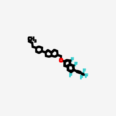 CCCCC1CCC(C2CCC3CC(COc4cc(F)c5c(F)c(C#CC(F)(F)F)c(F)cc5c4)CCC3C2)CC1